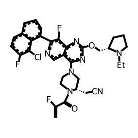 C=C(F)C(=O)N1CCN(c2nc(OC[C@@H]3CCCN3CC)nc3c(F)c(-c4cccc5ccc(F)c(Cl)c45)ncc23)C[C@@H]1CC#N